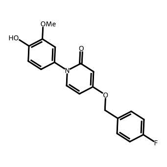 COc1cc(-n2ccc(OCc3ccc(F)cc3)cc2=O)ccc1O